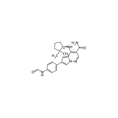 CC1(C)CCC[C@H]1Nc1c(C(N)=O)cnn2cc(-c3ccc(NC=O)cc3)cc12